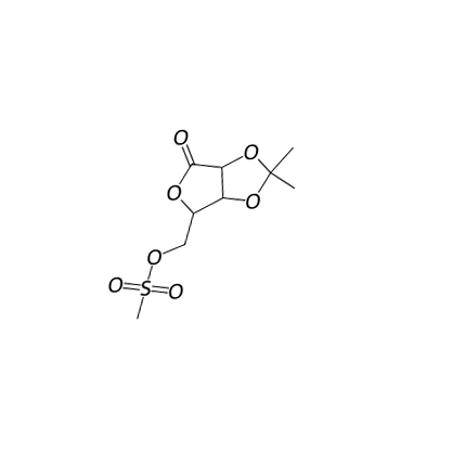 CC1(C)OC2C(=O)OC(COS(C)(=O)=O)C2O1